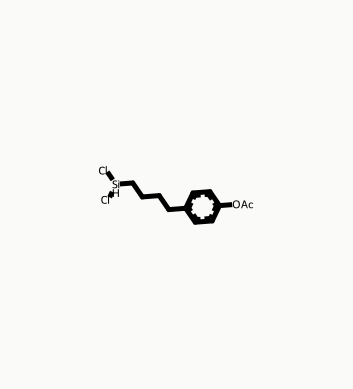 CC(=O)Oc1ccc(CCCC[SiH](Cl)Cl)cc1